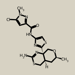 C[C@H]1C[C@H]2CSC(N)=N[C@@]2(c2nc(NC(=O)c3cc(Cl)n(C)n3)cs2)CO1